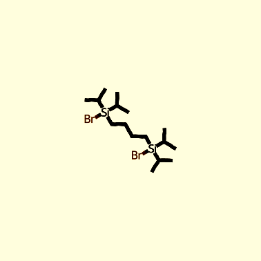 CC(C)[Si](Br)(CCCC[Si](Br)(C(C)C)C(C)C)C(C)C